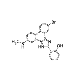 CBc1ccc2c3ccc(Br)cc3c3nc(-c4ccccc4O)[nH]c3c2c1